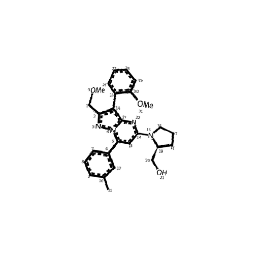 COCc1nn2c(-c3cccc(C)c3)cc(N3CCC[C@H]3CO)nc2c1-c1ccccc1OC